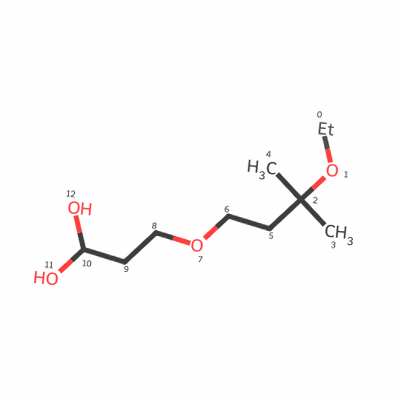 CCOC(C)(C)CCOCCC(O)O